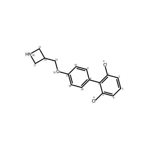 Clc1c[c]cc(Cl)c1-c1ccc(OCC2CNC2)cc1